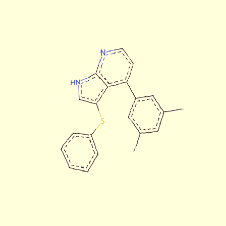 Cc1cc(C)cc(-c2ccnc3[nH]cc(Sc4ccccc4)c23)c1